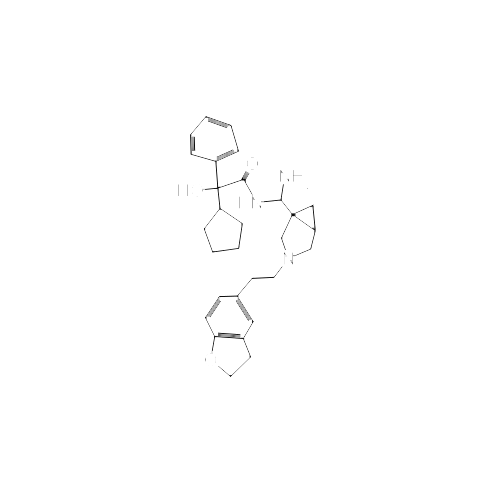 NC(NC(=O)C(O)(c1ccccc1)C1CCCC1)C12CC1CN(CCc1ccc3c(c1)CCO3)C2